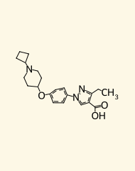 CCc1nn(-c2ccc(OC3CCN(C4CCC4)CC3)cc2)cc1C(=O)O